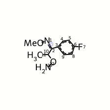 CO/N=C(/c1ccc(F)cc1)C(C)ON